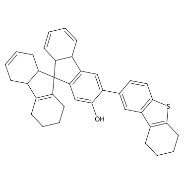 Oc1cc2c(cc1-c1ccc3sc4c(c3c1)CCCC4)C1C=CC=CC1C21C2=C(CCCC2)C2CC=CCC21